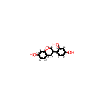 Oc1ccc(C2COc3cc(O)ccc3C2)c(O)c1